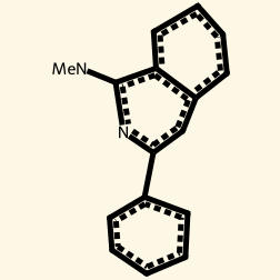 CNc1nc(-c2ccccc2)cc2ccccc12